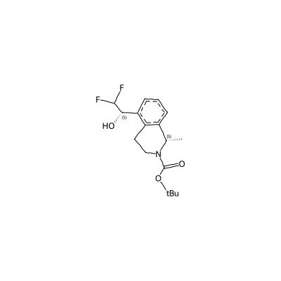 C[C@H]1c2cccc([C@H](O)C(F)F)c2CCN1C(=O)OC(C)(C)C